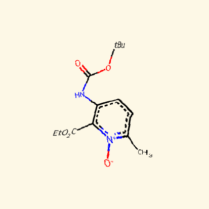 CCOC(=O)c1c(NC(=O)OC(C)(C)C)ccc(C)[n+]1[O-]